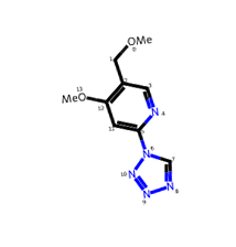 COCc1cnc(-n2cnnn2)cc1OC